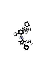 Cc1nn(-c2ccccc2)c(N)c1/N=N/c1cc(S(=O)(=O)NC2CCCCC2)ccc1Cl